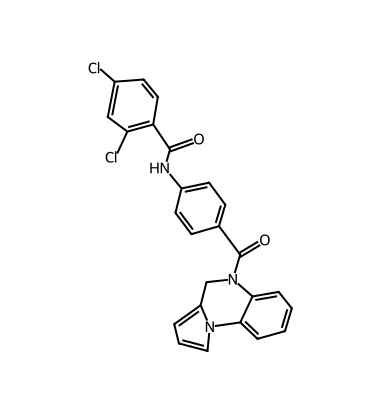 O=C(Nc1ccc(C(=O)N2Cc3cccn3-c3ccccc32)cc1)c1ccc(Cl)cc1Cl